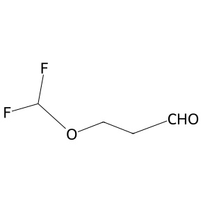 O=CCCOC(F)F